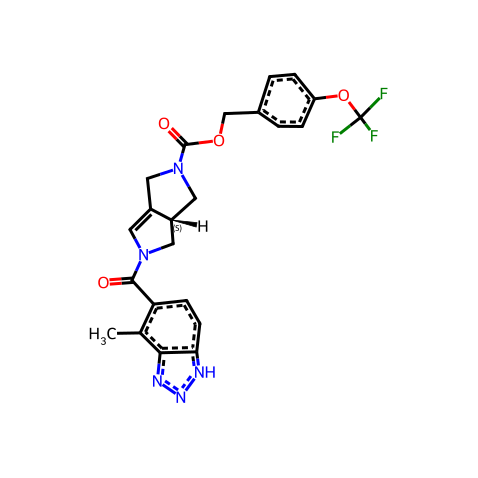 Cc1c(C(=O)N2C=C3CN(C(=O)OCc4ccc(OC(F)(F)F)cc4)C[C@@H]3C2)ccc2[nH]nnc12